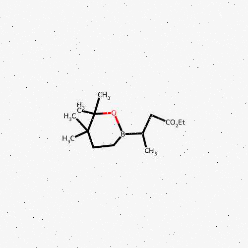 CCOC(=O)CC(C)B1CCC(C)(C)C(C)(C)O1